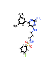 Cc1cc(C)cc(-c2cc(NCCCNS(=O)(=O)c3cccc(F)c3)nc(N)n2)c1